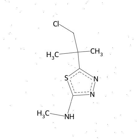 CNc1nnc(C(C)(C)CCl)s1